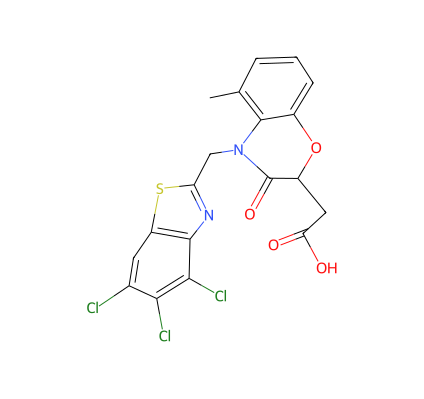 Cc1cccc2c1N(Cc1nc3c(Cl)c(Cl)c(Cl)cc3s1)C(=O)C(CC(=O)O)O2